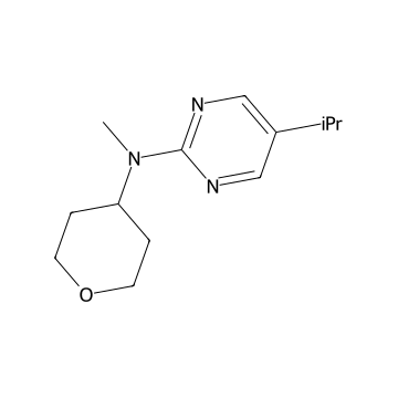 CC(C)c1cnc(N(C)C2CCOCC2)nc1